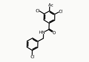 CC(=O)c1c(Cl)cc(C(=O)NCc2cccc(Cl)c2)cc1Cl